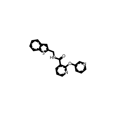 O=C(NCc1cc2ccccc2s1)c1cccnc1Oc1cccnc1